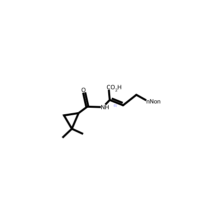 CCCCCCCCCC/C=C(/NC(=O)C1CC1(C)C)C(=O)O